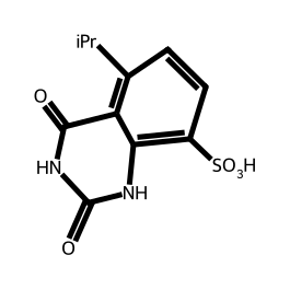 CC(C)c1ccc(S(=O)(=O)O)c2[nH]c(=O)[nH]c(=O)c12